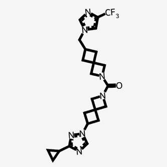 O=C(N1CC2(CC(Cn3cnc(C(F)(F)F)c3)C2)C1)N1CC2(CC(n3cnc(C4CC4)n3)C2)C1